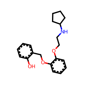 Oc1ccccc1COc1ccccc1OCCNC1CCCC1